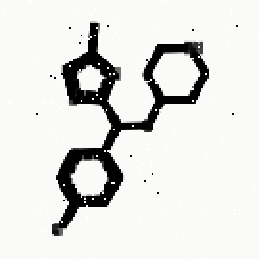 Cc1csc(C(OC2CCNCC2)c2ccc(Cl)cc2)n1